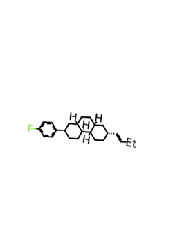 CCC=C[C@@H]1CC[C@H]2[C@H](CC[C@H]3C[C@H](c4ccc(F)cc4)CC[C@@H]32)C1